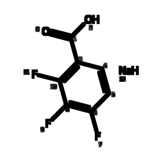 O=C(O)c1ccc(F)c(F)c1F.[NaH]